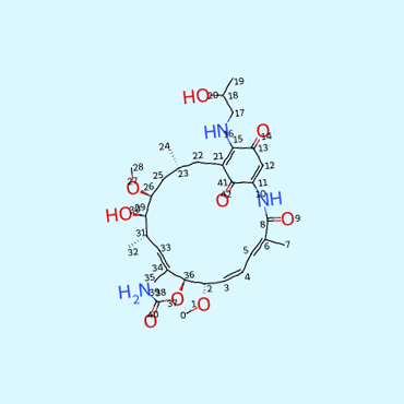 CO[C@H]1/C=C\C=C(/C)C(=O)NC2=CC(=O)C(NCC(C)O)=C(C[C@@H](C)C[C@H](OC)[C@H](O)[C@@H](C)/C=C(\C)[C@@H]1OC(N)=O)C2=O